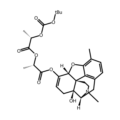 Cc1ccc2c3c1O[C@H]1C(OC(=O)[C@H](C)OC(=O)[C@H](C)OC(=O)OC(C)(C)C)=CC[C@@]4(O)[C@@H](C2)N(C)CC[C@]314